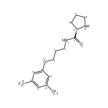 O=C(NCCCOc1cc(C(F)(F)F)cc(C(F)(F)F)c1)[C@H]1CCCN1